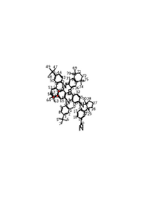 Cc1cc(C(C)(C)C)ccc1N1c2cc(N3c4ccc(C#N)cc4C4(C)CCCC34C)ccc2B2c3cc4c(cc3N(c3ccc(C(C)(C)C)cc3-c3ccccc3)c3cc(C(C)(C)C)cc1c32)C(C)(C)CCC4(C)C